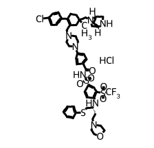 CC1(CN2C[C@H]3C[C@@H]2CN3)CCC(c2ccc(Cl)cc2)=C(CN2CCN(c3ccc(C(=O)NS(=O)(=O)c4ccc(N[C@H](CCN5CCOCC5)CSc5ccccc5)c(S(=O)(=O)C(F)(F)F)c4)cc3)CC2)C1.Cl